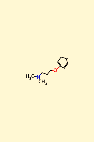 CN(C)CCCOC1=CC[CH]C=C1